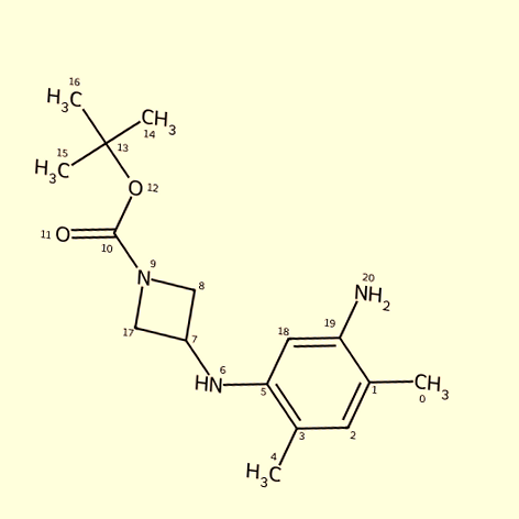 Cc1cc(C)c(NC2CN(C(=O)OC(C)(C)C)C2)cc1N